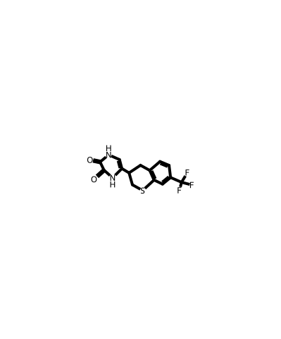 O=c1[nH]cc(C2CSc3cc(C(F)(F)F)ccc3C2)[nH]c1=O